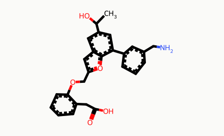 CC(O)c1cc(-c2cccc(CN)c2)c2oc(COc3ccccc3CC(=O)O)cc2c1